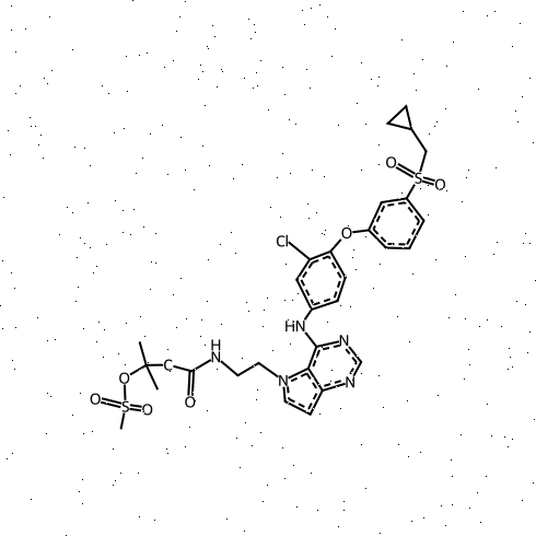 CC(C)(CC(=O)NCCn1ccc2ncnc(Nc3ccc(Oc4cccc(S(=O)(=O)CC5CC5)c4)c(Cl)c3)c21)OS(C)(=O)=O